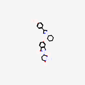 O=C1CCC(N2Cc3cc(O[C@H]4CCCC[C@H]4N4CC(c5ccc(O)cc5)C4)ccc3C2=O)C(=O)N1